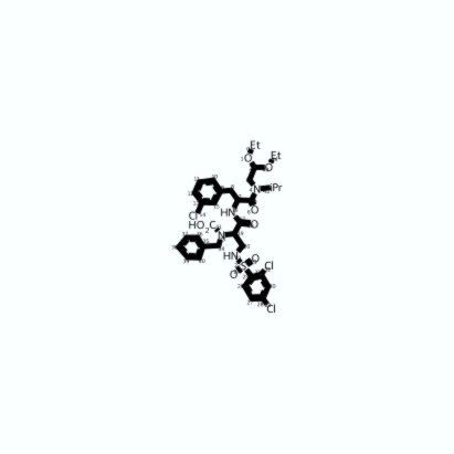 CCOC(CN(C(=O)C(Cc1cccc(Cl)c1)NC(=O)C(CNS(=O)(=O)c1ccc(Cl)cc1Cl)N(Cc1ccccc1)C(=O)O)C(C)C)OCC